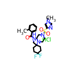 Cc1ccccc1C(=O)NCC1(N2CCN(S(=O)(=O)c3cn(C)cn3)CC2)CCC(F)(F)CC1.Cl